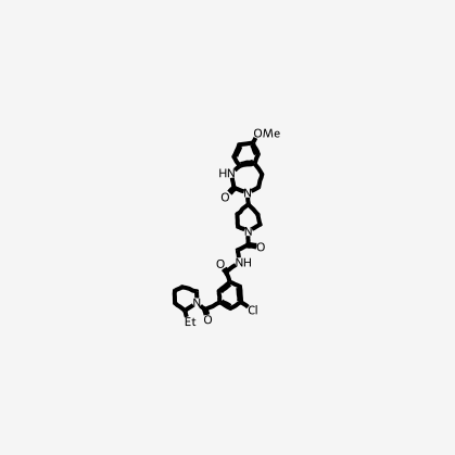 CCC1CCCCN1C(=O)c1cc(Cl)cc(C(=O)NCC(=O)N2CCC(N3CCc4cc(OC)ccc4NC3=O)CC2)c1